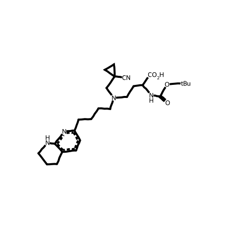 CC(C)(C)OC(=O)NC(CCN(CCCCc1ccc2c(n1)NCCC2)CC1(C#N)CC1)C(=O)O